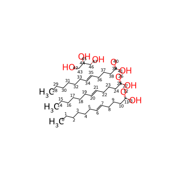 CCCCCCC=CCCCC(=O)O.CCCCCCC=CCCCC(=O)O.CCCCCCC=CCCCC(=O)O.OCC(O)CO